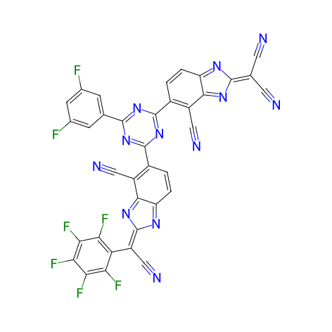 N#CC(C#N)=C1N=c2ccc(-c3nc(-c4cc(F)cc(F)c4)nc(-c4ccc5c(c4C#N)=N/C(=C(/C#N)c4c(F)c(F)c(F)c(F)c4F)N=5)n3)c(C#N)c2=N1